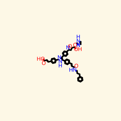 O=C(O)C=Cc1ccc(-c2nc(-c3ccc(C4=NOC(C(=O)O)C4)cc3)c(-c3ccc(C=CC(=O)NCCCc4ccccc4)cc3)[nH]2)cc1.c1c[nH]cn1